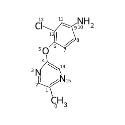 Cc1cnc(Oc2ccc(N)cc2Cl)cn1